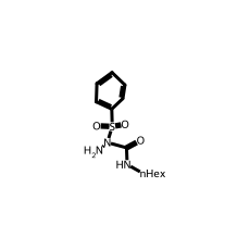 CCCCCCNC(=O)N(N)S(=O)(=O)c1ccccc1